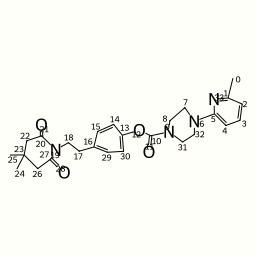 Cc1cccc(N2CCN(C(=O)Oc3ccc(CCN4C(=O)CC(C)(C)CC4=O)cc3)CC2)n1